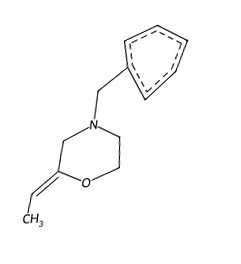 C/C=C1/CN(Cc2ccccc2)CCO1